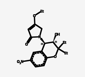 CCOC1=CC(=O)N([C@@H]2c3cc([N+](=O)[O-])ccc3OC(CC)(CC)[C@H]2O)C1